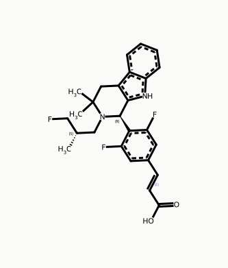 C[C@H](CF)CN1[C@H](c2c(F)cc(/C=C/C(=O)O)cc2F)c2[nH]c3ccccc3c2CC1(C)C